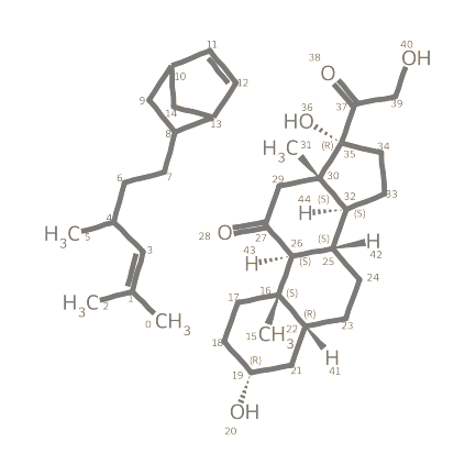 CC(C)=CC(C)CCC1CC2C=CC1C2.C[C@]12CC[C@@H](O)C[C@H]1CC[C@@H]1[C@@H]2C(=O)C[C@@]2(C)[C@H]1CC[C@]2(O)C(=O)CO